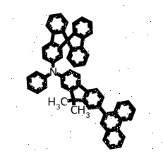 CC1(C)c2cc(-c3cc4ccccc4c4ccccc34)ccc2-c2ccc(N(c3ccccc3)c3ccc4c(c3)C3(c5ccccc5-c5ccccc53)c3ccccc3-4)cc21